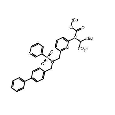 CC(C)(C)OC(=O)N(c1cccc(CN(Cc2ccc(-c3ccccc3)cc2)S(=O)(=O)c2cccnc2)n1)C(C(=O)O)C(C)(C)C